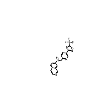 FC(F)(F)c1nc(-c2ccc(CNc3ccc4ccncc4c3)nc2)no1